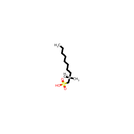 CCCCCCCC[Si](C)(C)CS(=O)(=O)O